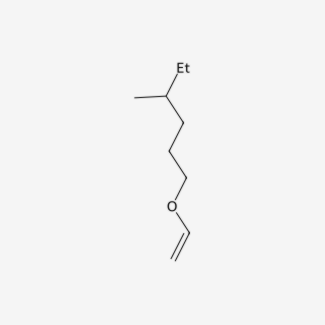 C=COCCCC(C)CC